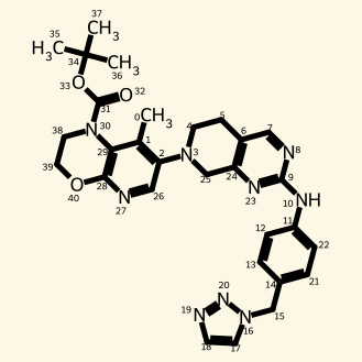 Cc1c(N2CCc3cnc(Nc4ccc(Cn5ccnn5)cc4)nc3C2)cnc2c1N(C(=O)OC(C)(C)C)CCO2